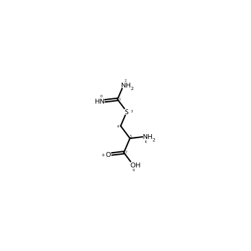 N=C(N)SCC(N)C(=O)O